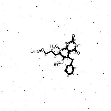 CC(C)Oc1c(Cc2ccccc2)c2c(=O)[nH]c(=O)nc-2n(C)c1CCCOC=O